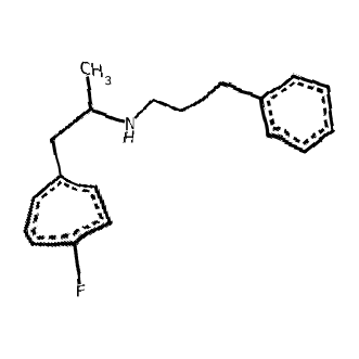 CC(Cc1ccc(F)cc1)NCCCc1ccccc1